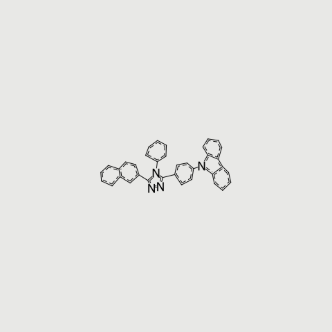 c1ccc(-n2c(-c3ccc(-n4c5ccccc5c5ccccc54)cc3)nnc2-c2ccc3ccccc3c2)cc1